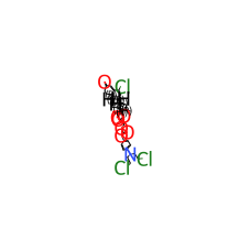 CC(=O)[C@@]1(OC(=O)COC(=O)Oc2ccc(N(CCCl)CCCl)cc2)[C@H](C)C[C@H]2[C@@H]3C=C(Cl)C4=CC(=O)CC[C@]4(C)[C@H]3CC[C@@]21C